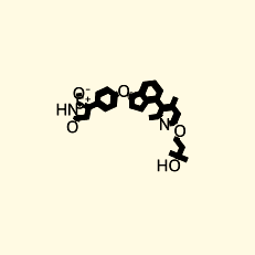 Cc1cc(OCCC(C)(C)O)nc(C)c1-c1cccc2c1CC[C@H]2Oc1ccc(C2CC(=O)N[S+]2[O-])cc1